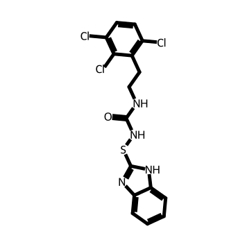 O=C(NCCc1c(Cl)ccc(Cl)c1Cl)NSc1nc2ccccc2[nH]1